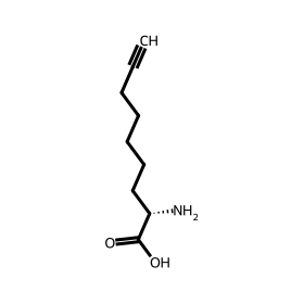 C#CCCCCC[C@H](N)C(=O)O